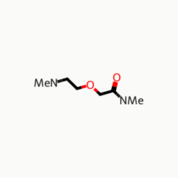 CNCCOCC(=O)NC